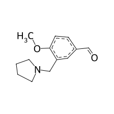 COc1ccc(C=O)cc1CN1CCCC1